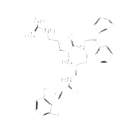 N=C(N)NCCC[C@@H]1N[C@H](CNC(=O)/C=C/c2c(F)cccc2I)CCN(CC(c2ccccc2)c2ccccc2)C1=O